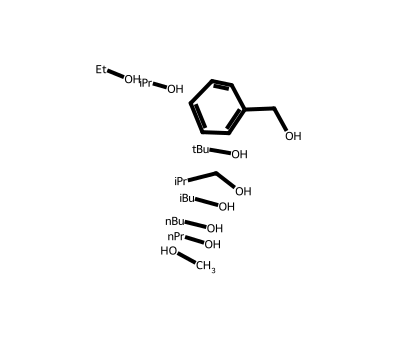 CC(C)(C)O.CC(C)CO.CC(C)O.CCC(C)O.CCCCO.CCCO.CCO.CO.OCc1ccccc1